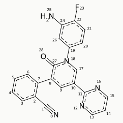 N#Cc1ccccc1-c1cc(-c2ncccn2)cn(-c2ccc(F)c(N)c2)c1=O